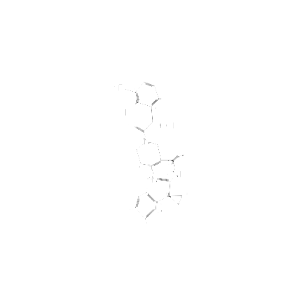 O=C([C@@H](O)c1cccc(F)c1F)N1CCc2nc(C3(c4ccccc4)CC3)[nH]c(=O)c2C1